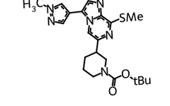 CSc1nc(C2CCCN(C(=O)OC(C)(C)C)C2)cn2c(-c3cnn(C)c3)cnc12